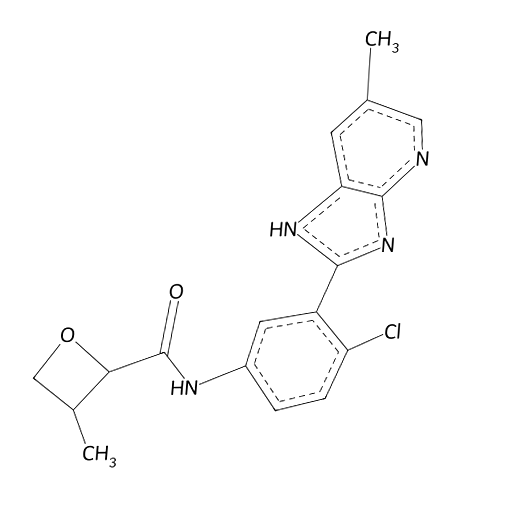 Cc1cnc2nc(-c3cc(NC(=O)C4OCC4C)ccc3Cl)[nH]c2c1